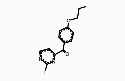 CCCOc1ccc(C(=O)c2ccnc(I)n2)cc1